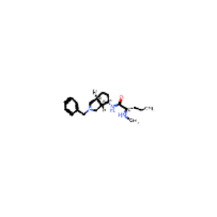 CCC[C@H](NC)C(=O)N[C@H]1CC[C@H]2CN(Cc3ccccc3)C[C@H]21